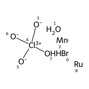 Br.O.[Mn].[O-][Cl+3]([O-])([O-])O.[Ru]